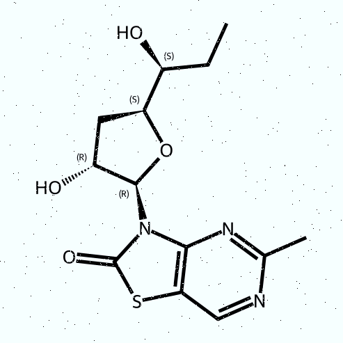 CC[C@H](O)[C@@H]1C[C@@H](O)[C@H](n2c(=O)sc3cnc(C)nc32)O1